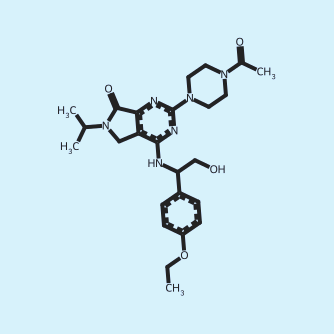 CCOc1ccc(C(CO)Nc2nc(N3CCN(C(C)=O)CC3)nc3c2CN(C(C)C)C3=O)cc1